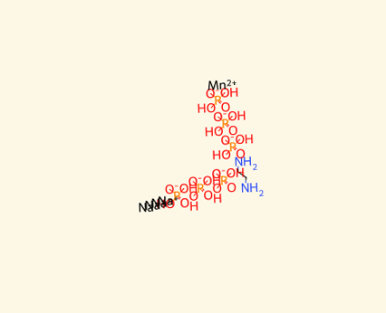 NCCN.O=P([O-])(O)O.O=P([O-])(O)O.O=P([O-])(O)O.O=P([O-])(O)O.O=P([O-])(O)O.O=P([O-])(O)O.[Mn+2].[Na+].[Na+].[Na+].[Na+]